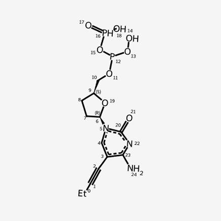 CCC#Cc1cn([C@H]2CC[C@@H](COP(OO)O[PH](=O)O)O2)c(=O)nc1N